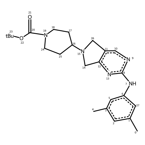 Cc1cc(C)cc(Nc2ncc3c(n2)CN(C2CCN(C(=O)OC(C)(C)C)CC2)C3)c1